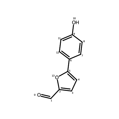 O=Cc1ccc(-c2ccc(O)cc2)o1